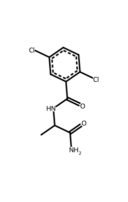 CC(NC(=O)c1cc(Cl)ccc1Cl)C(N)=O